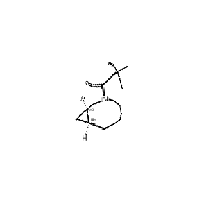 CC(C)(C)C(=O)N1CCC[C@H]2C[C@H]21